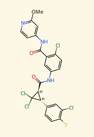 COc1cc(NC(=O)c2cc(NC(=O)[C@H]3[C@H](c4ccc(F)c(Cl)c4)C3(Cl)Cl)ccc2Cl)ccn1